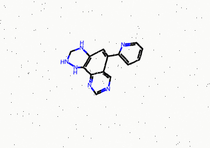 c1ccc(-c2cc3c(c4ncncc24)NNCN3)nc1